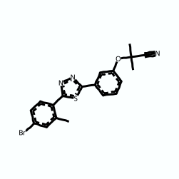 Cc1cc(Br)ccc1-c1nnc(-c2cccc(OC(C)(C)C#N)c2)s1